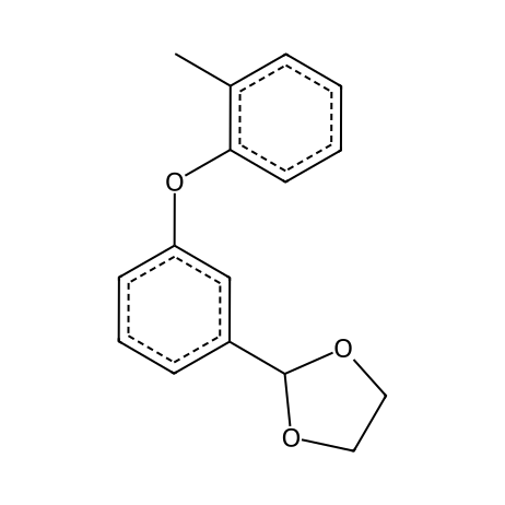 Cc1ccccc1Oc1cccc(C2OCCO2)c1